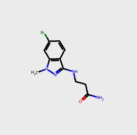 Cn1nc(NCCC(N)=O)c2ccc(Br)cc21